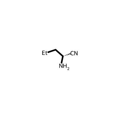 CCC[C@@H](N)C#N